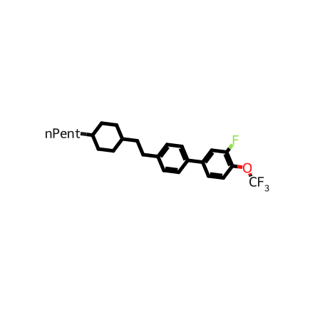 CCCCCC1CCC(CCc2ccc(-c3ccc(OC(F)(F)F)c(F)c3)cc2)CC1